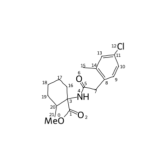 COC(=O)C1(NC(=O)Cc2ccc(Cl)cc2C)CCCCC1C